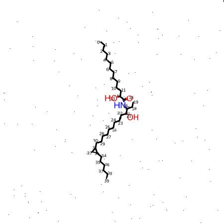 CCCCCCCCCCCCC(O)C(=O)NC(CC)C(O)CCCCCCCCCC1CC1CCCCCC